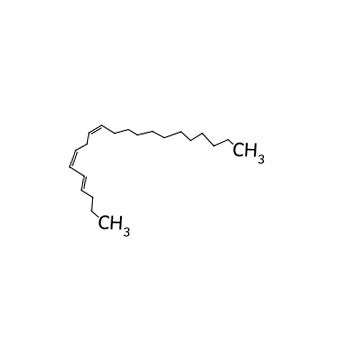 CCC/C=C/C=C\C/C=C\CCCCCCCCCCC